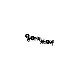 O=C(CNC(=O)COc1ccc(OC(F)(F)F)cc1)NCc1ccc(C(=O)N2CCCCC2)cc1